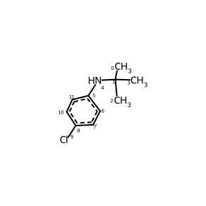 CC(C)(C)Nc1c[c]c(Cl)cc1